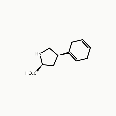 O=C(O)[C@@H]1C[C@H](C2=CCC=CC2)CN1